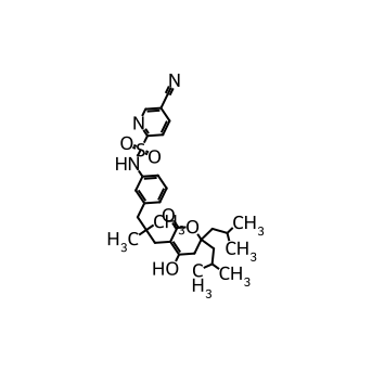 CC(C)CC1(CC(C)C)CC(O)=C(CC(C)(C)Cc2cccc(NS(=O)(=O)c3ccc(C#N)cn3)c2)C(=O)O1